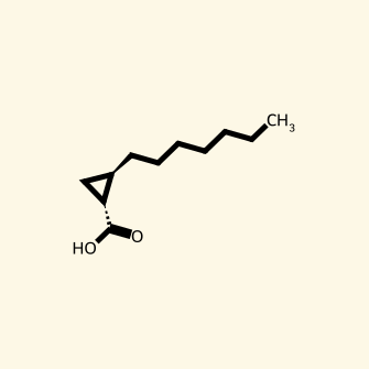 CCCCCCC[C@@H]1C[C@H]1C(=O)O